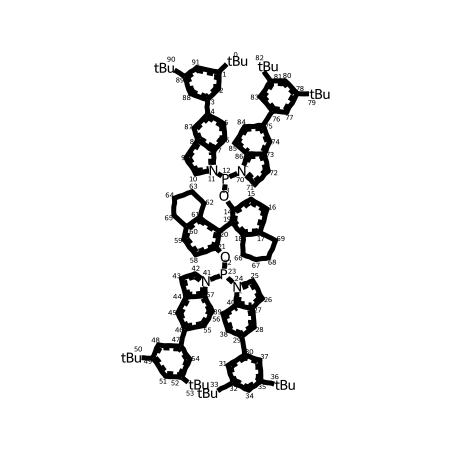 CC(C)(C)c1cc(-c2ccc3c(ccn3P(Oc3ccc4c(c3-c3c(OP(n5ccc6cc(-c7cc(C(C)(C)C)cc(C(C)(C)C)c7)ccc65)n5ccc6cc(-c7cc(C(C)(C)C)cc(C(C)(C)C)c7)ccc65)ccc5c3CCCC5)CCCC4)n3ccc4cc(-c5cc(C(C)(C)C)cc(C(C)(C)C)c5)ccc43)c2)cc(C(C)(C)C)c1